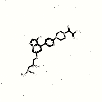 C=C(C)C(=O)N1CCN(c2ccc(-c3cc(OC[C@@H](O)CN(C)C)cn4ncc(C#N)c34)cn2)CC1